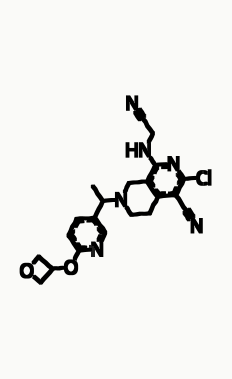 CC(c1ccc(OC2COC2)nc1)N1CCc2c(C#N)c(Cl)nc(NCC#N)c2C1